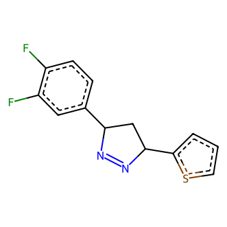 Fc1ccc(C2CC(c3cccs3)N=N2)cc1F